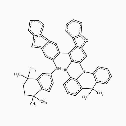 CC1(C)CCC(C)(C)c2cc(Nc3cc4sc5ccccc5c4cc3-c3c4c(cc5oc6ccccc6c35)N3c5ccccc5C(C)(C)c5cccc(c53)B4)ccc21